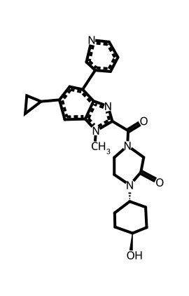 Cn1c(C(=O)N2CCN([C@H]3CC[C@H](O)CC3)C(=O)C2)nc2c(-c3cccnc3)cc(C3CC3)cc21